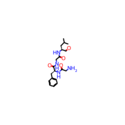 CC(C)C[C@@H](C=O)NC(=O)CNC(=O)[C@H](Cc1ccccc1)NC(=O)CN